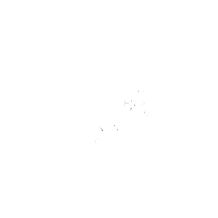 Cc1cccc([C@@H]2C[C@H]2C(=O)N2CCC[C@H](NS(C)(=O)=O)C2)c1-c1ccccc1